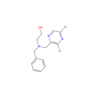 OCCN(Cc1ccccc1)Cc1ncc(Cl)nc1Cl